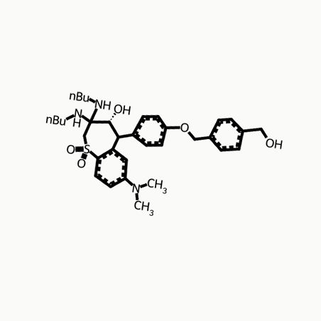 CCCCNC1(NCCCC)CS(=O)(=O)c2ccc(N(C)C)cc2C(c2ccc(OCc3ccc(CO)cc3)cc2)[C@H]1O